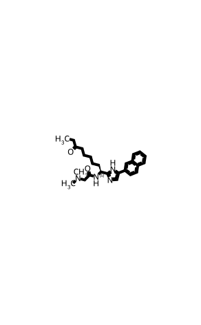 CCC(=O)CCCCC[C@H](NC(=O)CN(C)C)c1ncc(-c2ccc3ccccc3c2)[nH]1